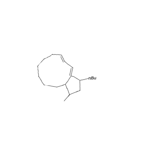 CCCCC1CC(C)C2CCCCCC/C=C/C=C/12